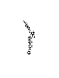 O=C(NCC(=O)N1CCN(c2ccc(OCc3ccccc3)cc2)CC1)c1cccc(OCCOCCOCC[18F])c1